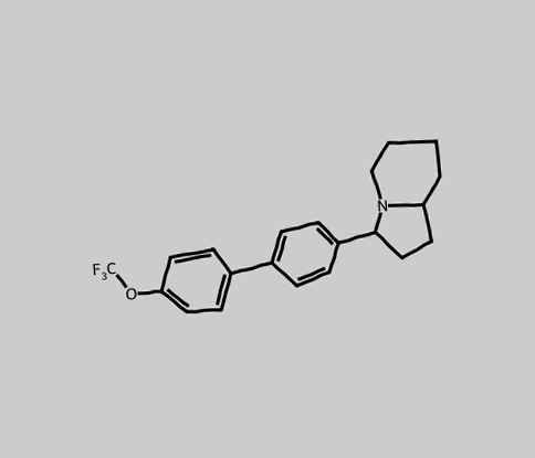 FC(F)(F)Oc1ccc(-c2ccc(C3CCC4CCCCN43)cc2)cc1